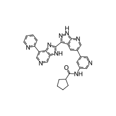 O=C(Nc1cncc(-c2cnc3[nH]nc(-c4nc5c(-c6ccccn6)cncc5[nH]4)c3c2)c1)C1CCCC1